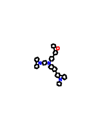 c1ccc(-n2c3ccccc3c3cc(-c4ccc5cc(N(c6ccc(-c7ccc8oc9ccccc9c8c7)cc6)c6ccc(-n7c8ccccc8c8ccccc87)cc6)ccc5c4)ccc32)cc1